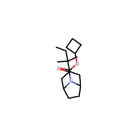 CCC(C)(C)C1CC2CCC(C1)N2C(=O)OC1CCC1